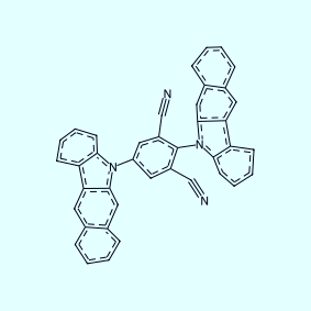 N#Cc1cc(-n2c3ccccc3c3cc4ccccc4cc32)cc(C#N)c1-n1c2ccccc2c2cc3ccccc3cc21